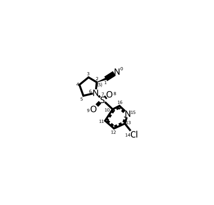 N#C[C@@H]1CCCN1S(=O)(=O)c1ccc(Cl)nc1